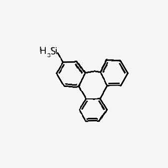 [SiH3]c1ccc2c3ccccc3c3ccccc3c2c1